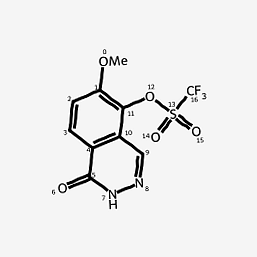 COc1ccc2c(=O)[nH]ncc2c1OS(=O)(=O)C(F)(F)F